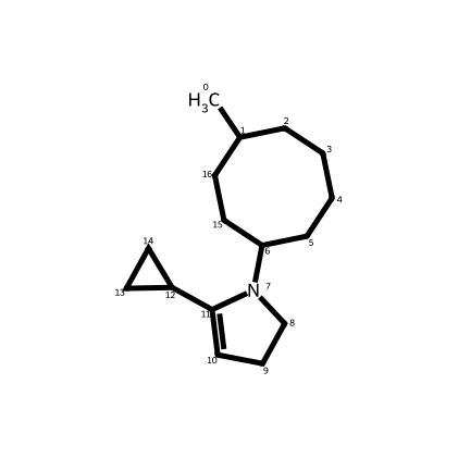 CC1CCCCC(N2CCC=C2C2CC2)CC1